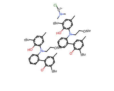 COCCN(c1ccccc1-c1cc(C)cc(C(C)(C)C)c1[O-])c1cc(C)cc(C(C)(C)C)c1O.COCCN(c1ccccc1-c1cc(C)cc(C(C)(C)C)c1[O-])c1cc(C)cc(C(C)(C)C)c1O.C[N](C)[Ti+2][Cl]